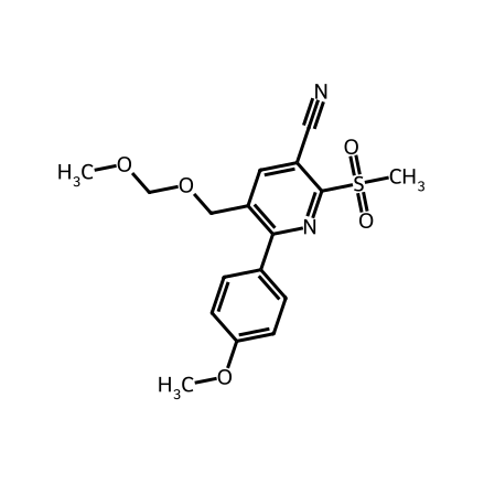 COCOCc1cc(C#N)c(S(C)(=O)=O)nc1-c1ccc(OC)cc1